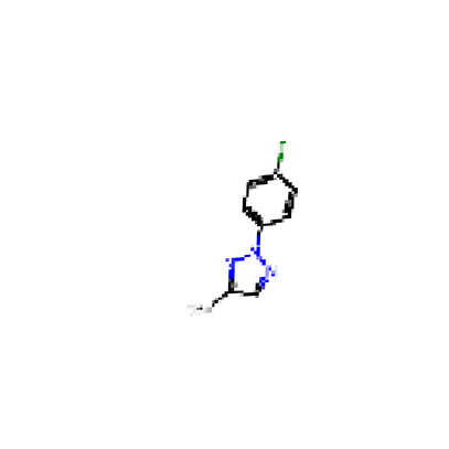 CC(C)(C)c1cnn(-c2ccc(F)cc2)n1